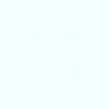 Nc1cc(S(N)(=O)=O)c2cccc(S(N)(=O)=O)c2c1